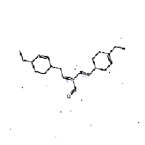 CCC1=CCC(/C=C/C(C=O)=C\CC2C=CC(CC)CC2)CC1